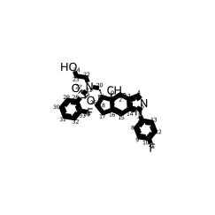 C[C@]12Cc3cnn(-c4ccc(F)cc4)c3C=C1CC[C@@H]2CN(CCO)S(=O)(=O)c1ccccc1F